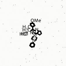 COc1ccc(-c2c(C)nn3c(N4CCN(c5ccccc5)CC4)c4c(nc23)CCC4)c(C)c1.Cl.Cl